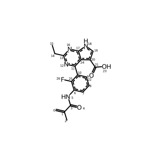 C=C(C)C(=O)Nc1cccc(-c2nc(CC)nc3[nH]cc(C(=O)O)c23)c1F